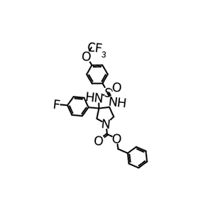 N=S(=O)(NC1(c2ccc(F)cc2)CCN(C(=O)OCc2ccccc2)C1)c1ccc(OC(F)(F)F)cc1